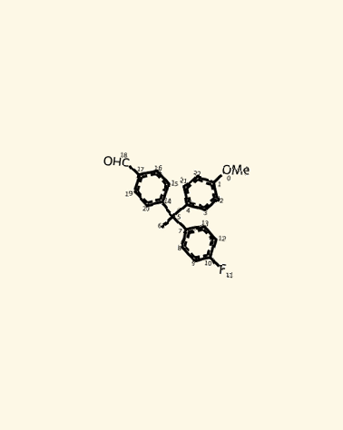 COc1ccc(C(C)(c2ccc(F)cc2)c2ccc(C=O)cc2)cc1